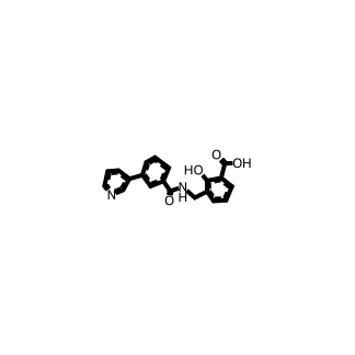 O=C(NCc1cccc(C(=O)O)c1O)c1cccc(-c2cccnc2)c1